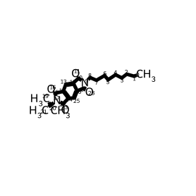 CCCCCCCCCn1c(=O)c2cc3c(=O)n(C(C)(C)C)c(=O)c3cc2c1=O